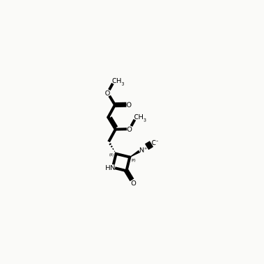 [C-]#[N+][C@H]1C(=O)N[C@@H]1CC(=CC(=O)OC)OC